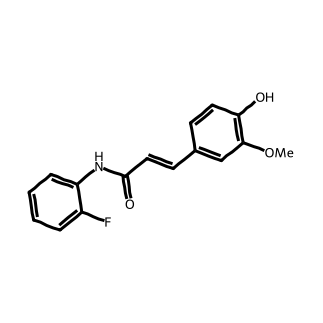 COc1cc(/C=C/C(=O)Nc2ccccc2F)ccc1O